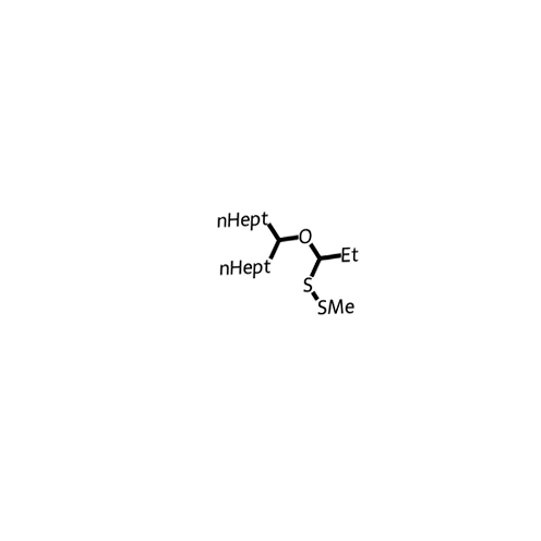 CCCCCCCC(CCCCCCC)OC(CC)SSC